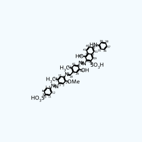 COc1cc(N=Nc2ccc(S(=O)(=O)O)cc2)c(C)cc1N=Cc1cc(O)c(N=Nc2c(S(=O)(=O)O)cc3cc(Nc4ccccc4)ccc3c2O)cc1C